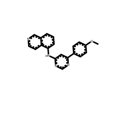 COc1ccc(-c2cc(Nc3cccc4cnccc34)ncn2)cc1